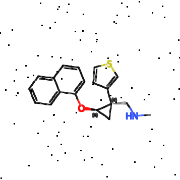 CNC[C@]1(c2ccsc2)C[C@H]1Oc1cccc2ccccc12